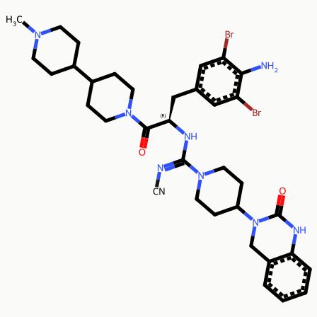 CN1CCC(C2CCN(C(=O)[C@@H](Cc3cc(Br)c(N)c(Br)c3)NC(=NC#N)N3CCC(N4Cc5ccccc5NC4=O)CC3)CC2)CC1